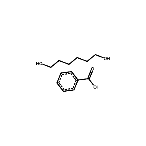 O=C(O)c1ccccc1.OCCCCCCO